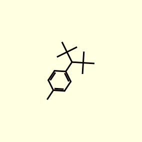 Cc1ccc(C(C(C)(C)C)C(C)(C)C)cc1